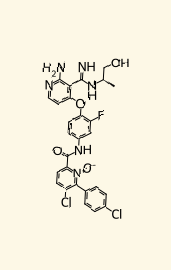 C[C@H](CO)NC(=N)c1c(Oc2ccc(NC(=O)c3ccc(Cl)c(-c4ccc(Cl)cc4)[n+]3[O-])cc2F)ccnc1N